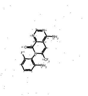 Nc1cccc(F)c1-n1c(C(F)(F)F)cc2c(N)ncnc2c1=O